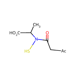 CC(=O)CC(=O)N(S)C(C)C(=O)O